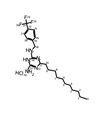 CCCCCCCCCCCC1N=C(N)NC(NCc2ccc(C(F)(F)F)cc2)=N1.Cl